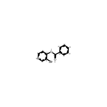 O=C(Oc1c[c]ncc1Br)c1ccccc1